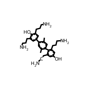 Cc1cc(-c2c(CCCN)cc(O)cc2CCCN)c(C)cc1-c1cc(CCCN)c(O)c(CCCN)c1